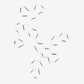 c1cncc(-c2nccc3c2c2cc(-c4ccc5c(-c6ccc7ccccc7c6)c6ccccc6c(-c6ccc7ccccc7c6)c5c4)ccc2n3-c2cc3ccccc3c3ccccc23)c1